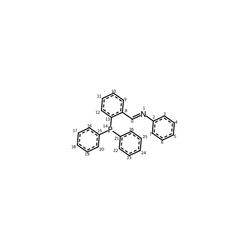 C(=Nc1ccccc1)c1ccccc1P(c1ccccc1)c1ccccc1